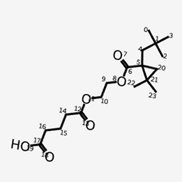 CC(C)(C)CC1(C(=O)OCCOC(=O)CCCC(=O)O)CC1(C)C